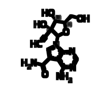 C#C[C@]1(O)C(n2cc(C(N)=O)c3c(N)ncnc32)O[C@H](CO)[C@H]1O